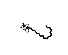 CC/C=C\C/C=C\C/C=C\CCCCCCCC(=O)OC(C)OC